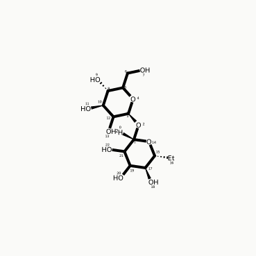 [2H][C@@]1(O[C@@H]2OC(CO)[C@@H](O)[C@H](O)C2O)O[C@H](CC)[C@@H](O)C(O)C1O